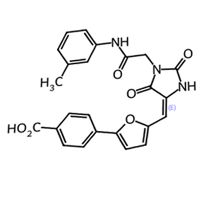 Cc1cccc(NC(=O)CN2C(=O)N/C(=C/c3ccc(-c4ccc(C(=O)O)cc4)o3)C2=O)c1